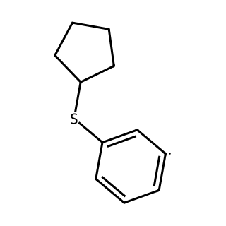 [c]1cccc(SC2CCCC2)c1